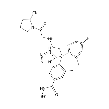 CC(C)NC(=O)c1ccc2c(c1)CCc1cc(F)ccc1C2(CCNCC(=O)N1CCCC1C#N)c1nnn[nH]1